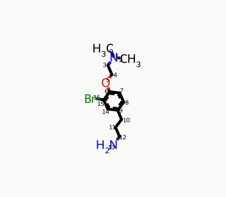 CN(C)CCOc1ccc(CCCN)cc1Br